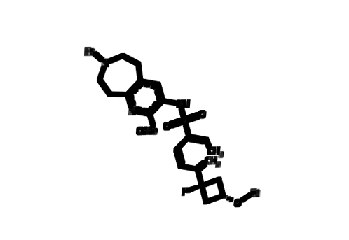 C=C(/C=C\C(=C/C)S(=O)(=O)Nc1cc2c(nc1OC)CCN(CC)CC2)[C@]1(F)C[C@H](OCC)C1